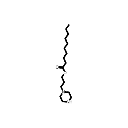 CCCCCCCCCC(=O)OCCCN1CCNCC1